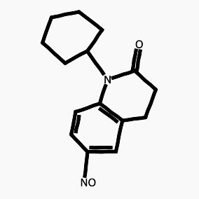 O=Nc1ccc2c(c1)CCC(=O)N2C1CCCCC1